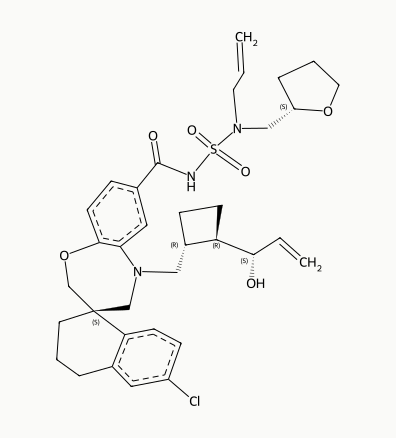 C=CCN(C[C@@H]1CCCO1)S(=O)(=O)NC(=O)c1ccc2c(c1)N(C[C@@H]1CC[C@H]1[C@@H](O)C=C)C[C@@]1(CCCc3cc(Cl)ccc31)CO2